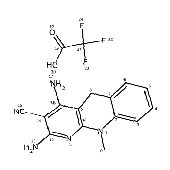 CN1c2ccccc2Cc2c1nc(N)c(C#N)c2N.O=C(O)C(F)(F)F